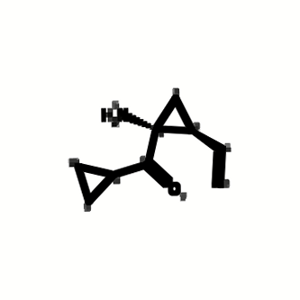 C=C[C@@H]1C[C@]1(N)C(=O)C1CC1